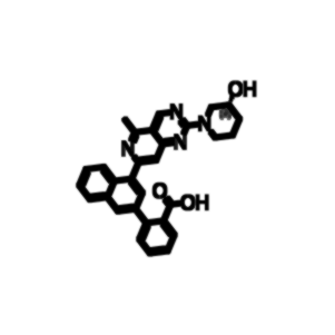 Cc1nc(-c2cc(-c3ccccc3C(=O)O)cc3ccccc23)cc2nc(N3CCC[C@@H](O)C3)ncc12